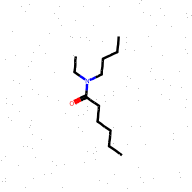 CCCCCC(=O)N(CC)CCCC